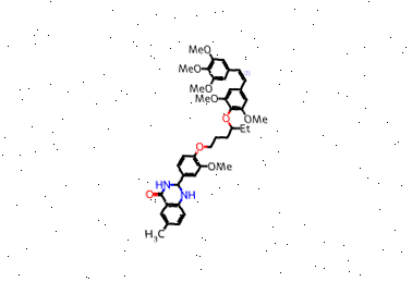 CCC(CCCOc1ccc(C2NC(=O)c3cc(C)ccc3N2)cc1OC)Oc1c(OC)cc(/C=C\c2cc(OC)c(OC)c(OC)c2)cc1OC